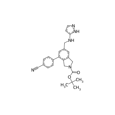 CC(C)(C)OC(=O)N1Cc2cc(CNc3ccn[nH]3)cc(-c3ccc(C#N)cc3)c2C1